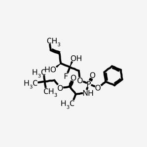 CC=C[C@H](O)[C@@](O)(F)COP(=O)(NC(C)C(=O)OCC(C)(C)C)Oc1ccccc1